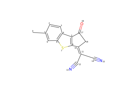 Cc1ccc2c3c(sc2c1)C(=C(C#N)C#N)CC3=O